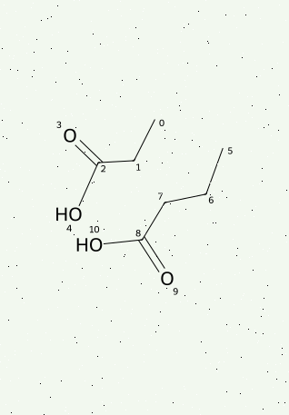 CCC(=O)O.CCCC(=O)O